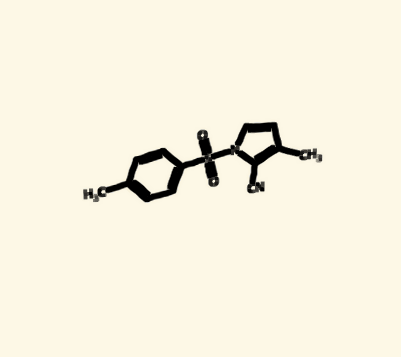 Cc1ccc(S(=O)(=O)n2ccc(C)c2C#N)cc1